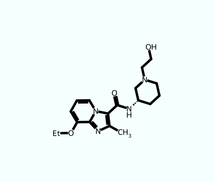 CCOc1cccn2c(C(=O)N[C@H]3CCCN(CCO)C3)c(C)nc12